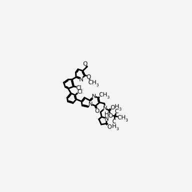 COc1nc(-c2cccc(-c3cccc(-c4ccn5c(=O)c(CN(CC6CCC(=O)N6)C(=O)OC(C)(C)C)c(C)nc5c4)c3Cl)c2Cl)ccc1C=O